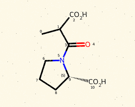 CC(C(=O)O)C(=O)N1CCC[C@H]1C(=O)O